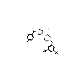 O=C(c1ccc(Cl)cc1)N1C[C@H](O)[C@@H](N2CCN(Cc3cc(C(F)(F)F)cc(C(F)(F)F)c3)CC2)C1